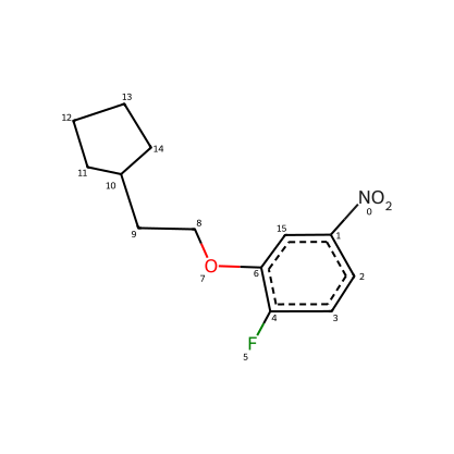 O=[N+]([O-])c1ccc(F)c(OCCC2CCCC2)c1